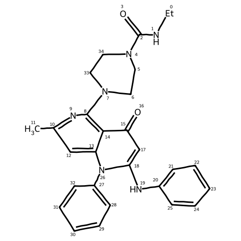 CCNC(=O)N1CCN(c2nc(C)cc3c2c(=O)cc(Nc2ccccc2)n3-c2ccccc2)CC1